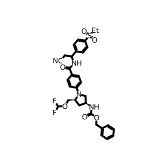 CCS(=O)(=O)c1ccc(C(CC#N)NC(=O)c2ccc(N3C[C@@H](NC(=O)OCc4ccccc4)C[C@H]3COC(F)F)cc2)cc1